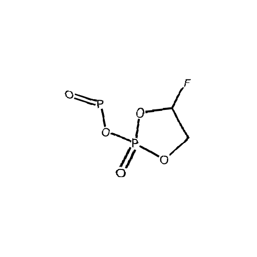 O=POP1(=O)OCC(F)O1